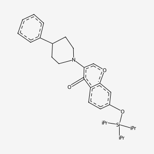 CC(C)[Si](Oc1ccc2c(=O)c(N3CCC(c4ccccc4)CC3)coc2c1)(C(C)C)C(C)C